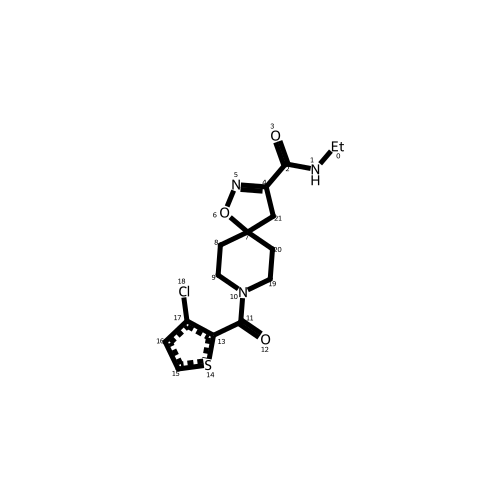 CCNC(=O)C1=NOC2(CCN(C(=O)c3sccc3Cl)CC2)C1